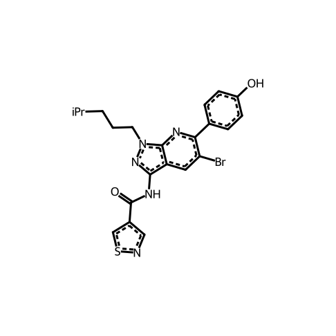 CC(C)CCCn1nc(NC(=O)c2cnsc2)c2cc(Br)c(-c3ccc(O)cc3)nc21